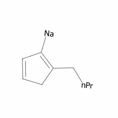 CCCCC1=[C]([Na])C=CC1